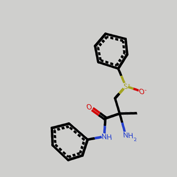 CC(N)(C[S+]([O-])c1ccccc1)C(=O)Nc1ccccc1